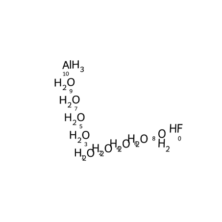 F.O.O.O.O.O.O.O.O.O.[AlH3]